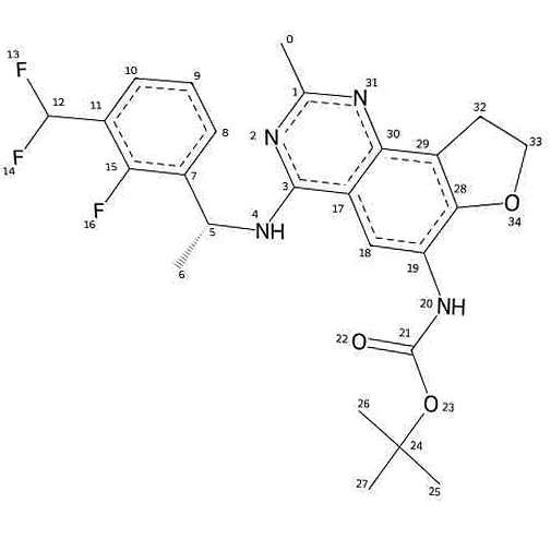 Cc1nc(N[C@H](C)c2cccc(C(F)F)c2F)c2cc(NC(=O)OC(C)(C)C)c3c(c2n1)CCO3